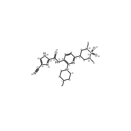 CC1CCN(c2nc(C3CN(C)S(=O)(=O)N(C)C3)ccc2NC(=O)c2nc(C#N)c[nH]2)CC1